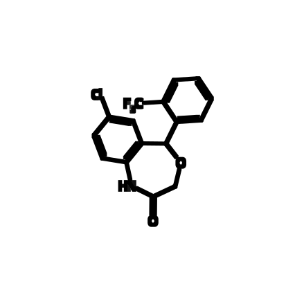 O=C1COC(c2ccccc2C(F)(F)F)c2cc(Cl)ccc2N1